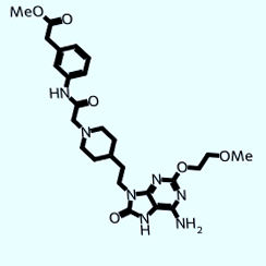 COCCOc1nc(N)c2[nH]c(=O)n(CCC3CCN(CC(=O)Nc4cccc(CC(=O)OC)c4)CC3)c2n1